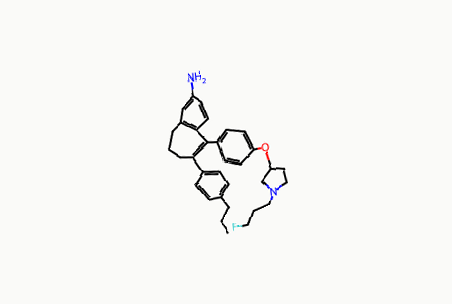 CCCc1ccc(C2=C(c3ccc(OC4CCN(CCCF)C4)cc3)c3ccc(N)cc3CCC2)cc1